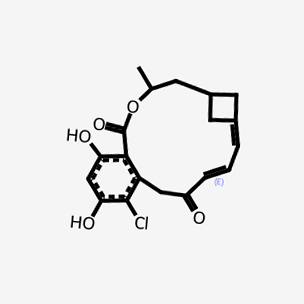 CC1CC2CC(=C/C=C/C(=O)Cc3c(Cl)c(O)cc(O)c3C(=O)O1)C2